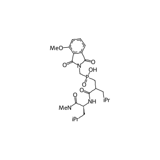 CNC(=O)[C@H](CC(C)C)NC(=O)C(CC(C)C)CP(=O)(O)CN1C(=O)c2cccc(OC)c2C1=O